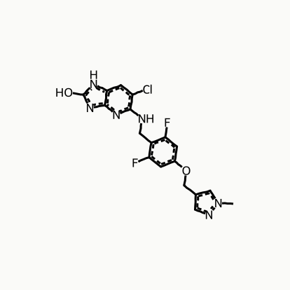 Cn1cc(COc2cc(F)c(CNc3nc4nc(O)[nH]c4cc3Cl)c(F)c2)cn1